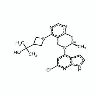 C[C@@H]1Cc2ncnc(N3CC(C(C)(C)O)C3)c2CN1c1cc(Cl)nc2[nH]ccc12